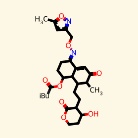 CCC(C)C(=O)OC1CCC(=NOCc2cc(C)on2)C2=CC(=O)C(C)C(CCC3C(=O)OCCC3O)C21